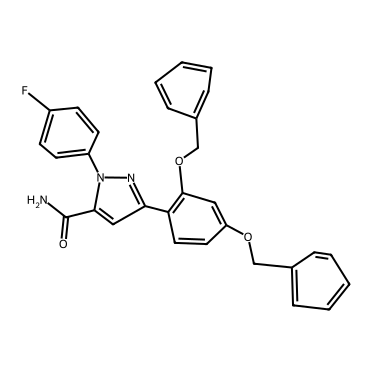 NC(=O)c1cc(-c2ccc(OCc3ccccc3)cc2OCc2ccccc2)nn1-c1ccc(F)cc1